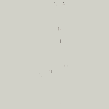 CC(=O)Nc1ccc(N2CCN(c3ccc(OC(CCc4ccc(Cl)cc4)Cn4ccnc4)cc3)CC2)cc1